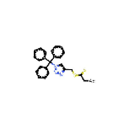 CC(=O)CC(=S)SCc1cn(C(c2ccccc2)(c2ccccc2)c2ccccc2)nn1